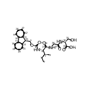 CC[C@H](C)[C@H](NC(=O)OCC1c2ccccc2-c2ccccc21)C(=O)NCC(=O)N[C@@H](CO)C(=O)O